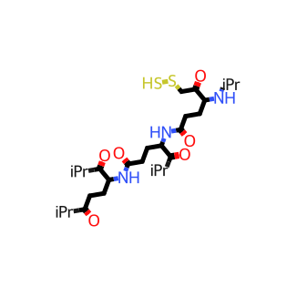 CC(C)NC(CCC(=O)NC(CCC(=O)NC(CCC(=O)C(C)C)C(=O)C(C)C)C(=O)C(C)C)C(=O)CSS